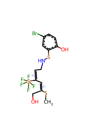 CS/C(=C/C(=C\CNSc1cc(Br)ccc1O)S(F)(F)(F)(F)F)CO